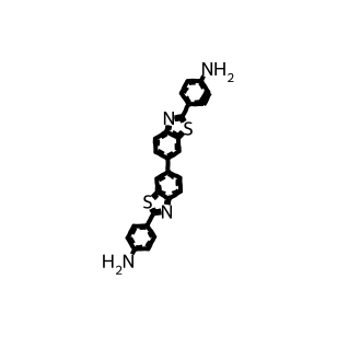 Nc1c#cc(-c2nc3ccc(-c4ccc5nc(-c6ccc(N)cc6)sc5c4)cc3s2)cc1